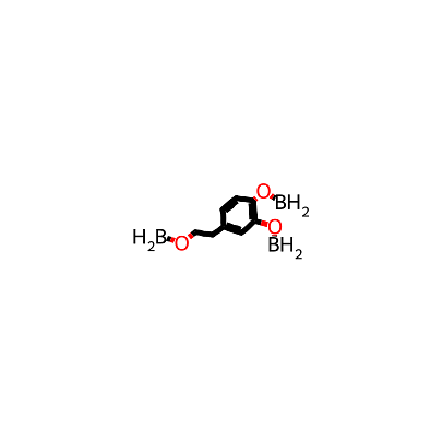 BOCCc1ccc(OB)c(OB)c1